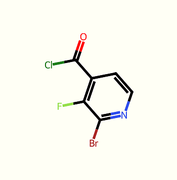 O=C(Cl)c1ccnc(Br)c1F